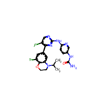 CC(C)N1CCOc2c(F)cc(-c3nc(Nc4ccc(NC(N)=O)cn4)ncc3F)cc21